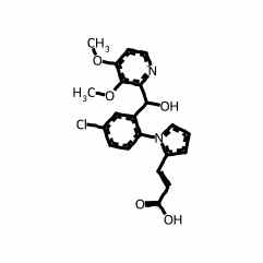 COc1ccnc(C(O)c2cc(Cl)ccc2-n2cccc2C=CC(=O)O)c1OC